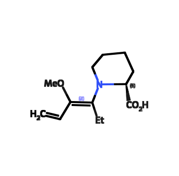 C=C/C(OC)=C(\CC)N1CCCC[C@H]1C(=O)O